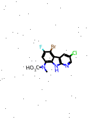 CN(C(=O)O)c1cc(F)c(Br)c2c1[nH]c1ncc(Cl)cc12